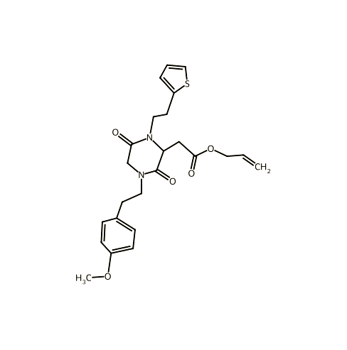 C=CCOC(=O)CC1C(=O)N(CCc2ccc(OC)cc2)CC(=O)N1CCc1cccs1